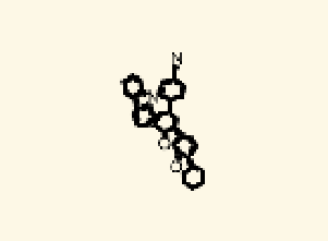 N#Cc1ccc(-c2ccc3oc4c(ccc5c6ccccc6oc54)c3c2)c(-n2c3ccccc3c3ccccc32)c1